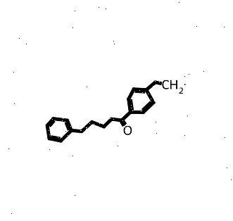 [CH2]Cc1ccc(C(=O)CCCCc2ccccc2)cc1